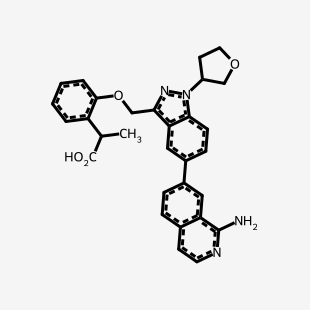 CC(C(=O)O)c1ccccc1OCc1nn(C2CCOC2)c2ccc(-c3ccc4ccnc(N)c4c3)cc12